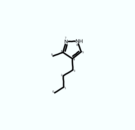 CCCCc1c[nH]nc1C